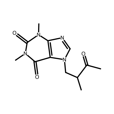 CC(=O)C(C)Cn1cnc2c1c(=O)n(C)c(=O)n2C